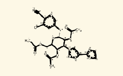 CC(=O)OCC1O[C@H](Sc2cnc(C#N)c(Cl)c2)C(OC(C)=O)C(n2cc(-c3nccs3)nn2)[C@H]1OC(C)=O